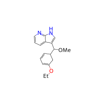 CCOC1=CC=CC(C(OC)c2c[nH]c3ncccc23)C1